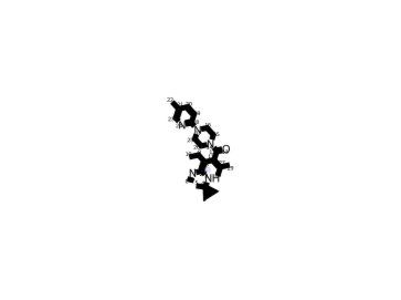 C=N/C(NC1(C)CC1)=C(\CC)C(C(=O)N1CCN(c2ccc(C)cn2)CC1)=C(C)C